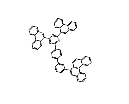 c1cc(-c2ccc(-c3nc(-c4cc5ccccc5c5ccccc45)nc(-c4cc5ccccc5c5ccccc45)n3)cc2)cc(-c2nc3ccccc3c3c2ccc2ccccc23)c1